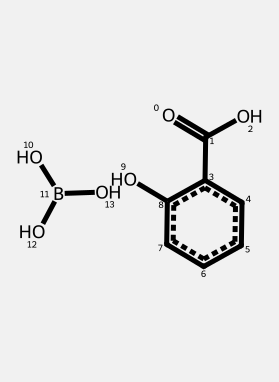 O=C(O)c1ccccc1O.OB(O)O